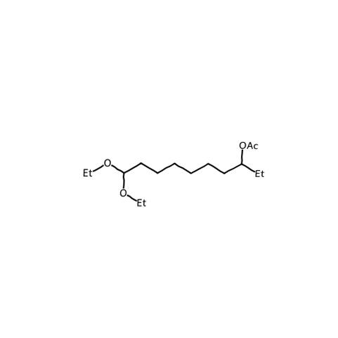 CCOC(CCCCCCC(CC)OC(C)=O)OCC